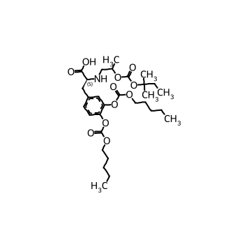 CCCCCOC(=O)Oc1ccc(C[C@H](NCC(C)OC(=O)OC(C)(C)CC)C(=O)O)cc1OC(=O)OCCCCC